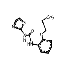 CCCOc1ccccc1NC(=O)Nc1nccs1